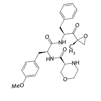 COc1ccc(C[C@H](NC(=O)[C@@H]2COCCN2)C(=O)N[C@@H](Cc2ccccc2)C(=O)[C@@]2(C)CO2)cc1